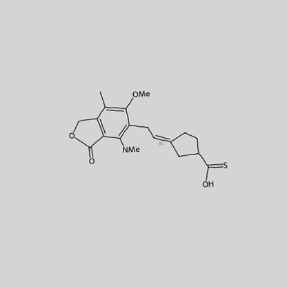 CNc1c(C/C=C2\CCC(C(O)=S)C2)c(OC)c(C)c2c1C(=O)OC2